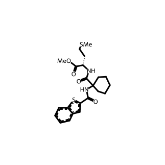 COC(=O)[C@H](CCSC)NC(=O)C1(NC(=O)c2cc3ccccc3s2)CCCCC1